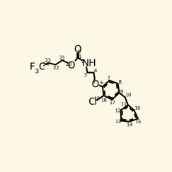 O=C(NCCOc1ccc(Cc2ccccc2)cc1Cl)OCCCC(F)(F)F